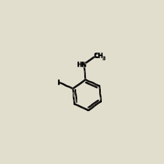 CNc1ccccc1I